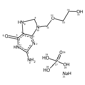 Nc1nc2c(c(=O)[nH]1)NCN2COCCO.O=P(O)(O)O.[NaH]